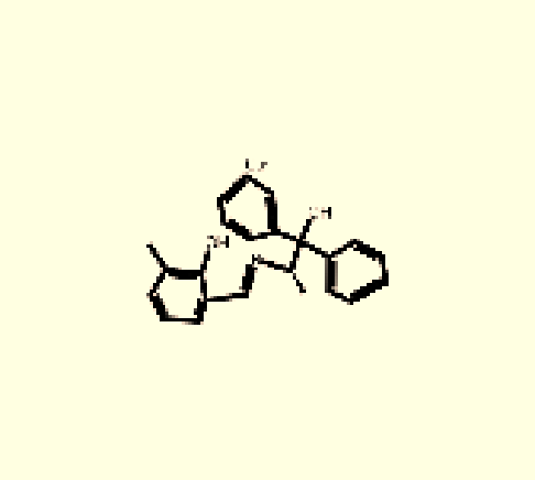 Cc1cccc(C=N[C@H](C)C(O)(c2ccccc2)c2ccccc2)c1O.[Cu]